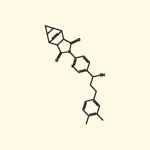 Cc1ccc(CCC(O)c2ccc(N3C(=O)C4C5C=CC(C6CC56)C4C3=O)nc2)cc1C